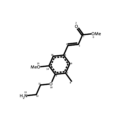 COC(=O)/C=C/c1cc(C)c(OCCN)c(OC)c1